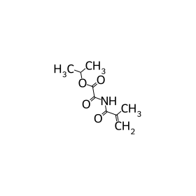 C=C(C)C(=O)NC(=O)C(=O)OC(C)C